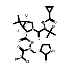 CCC(C)(C)[C@H](NC(=O)C1CC1)C(=O)N1C[C@H]2[C@@H]([C@H]1C(=O)NN(C[C@@H]1CCNC1=O)C(=O)[C@H](F)Cl)C2(C)C